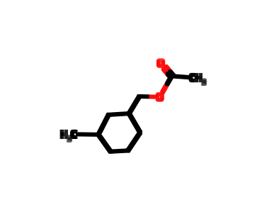 CC(=O)OCC1CCCC(C)C1